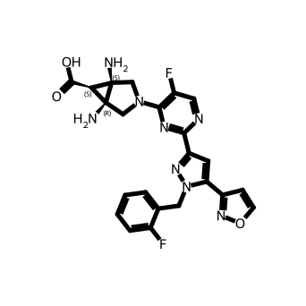 N[C@@]12CN(c3nc(-c4cc(-c5ccon5)n(Cc5ccccc5F)n4)ncc3F)C[C@]1(N)[C@H]2C(=O)O